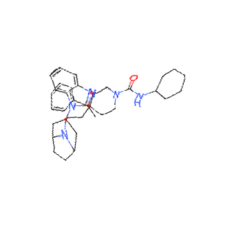 Cc1nc2ccccc2n1C1CC2CCC(C1)N2CCC1(c2ccccc2)CCN(C(=O)NC2CCCCC2)CC1